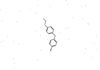 CCCc1ccc(Cc2ccc(F)cc2)cc1